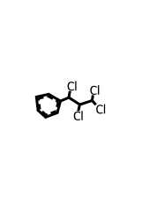 ClC(Cl)C(Cl)C(Cl)c1ccccc1